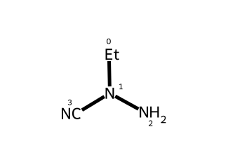 CCN(N)C#N